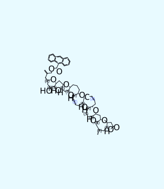 C=C(COC(=O)c1c2ccccc2cc2ccccc12)C[C@@H]1C[C@H](O)[C@@H]2O[C@@H]3C[C@]4(C)O[C@@H]5/C=C\C[C@@H]6O[C@H]7C(C/C=C\CC6OC5CCCC4OC3CC2O1)OC1CC2OC3CC(=O)O[C@H]3C[C@@H](C)C[C@@]2(C)O[C@H]1C[C@@H]7C